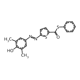 Cc1cc(/N=N/c2ccc(C(=O)Sc3ccccc3)s2)cc(C)c1O